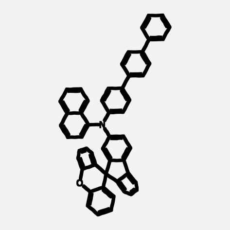 c1ccc(-c2ccc(-c3ccc(N(c4ccc5c(c4)C4(c6ccccc6Oc6ccccc64)c4ccccc4-5)c4cccc5ccccc45)cc3)cc2)cc1